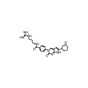 N=C(N)NCCCNC(=O)c1ccc(-n2cc3cc(C4CCCNC4)[nH]c3nc2=O)cc1